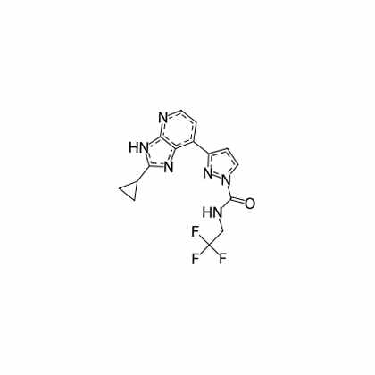 O=C(NCC(F)(F)F)n1ccc(-c2ccnc3[nH]c(C4CC4)nc23)n1